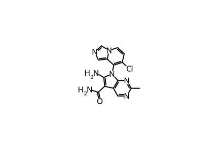 Cc1ncc2c(C(N)=O)c(N)n(-c3c(Cl)ccn4cncc34)c2n1